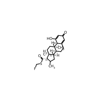 CC1C[C@H]2[C@@H]3CCC4=CC(=O)C=C(O)[C@]4(C)[C@H]3CC[C@]2(C)[C@H]1C(=O)SCF